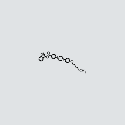 CCCCCCOc1ccc(N2CCN(c3ccc(C(=O)On4nnc5ccccc54)cc3)CC2)cc1